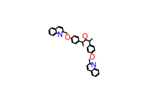 CC(C(=O)C(C)c1ccc(OCc2ccc3ccccc3n2)cc1)c1ccc(OCc2ccc3ccccc3n2)cc1